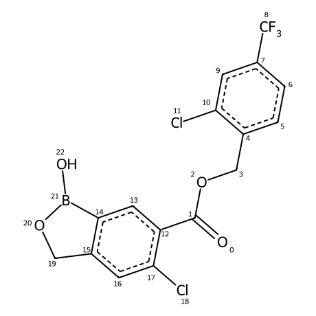 O=C(OCc1ccc(C(F)(F)F)cc1Cl)c1cc2c(cc1Cl)COB2O